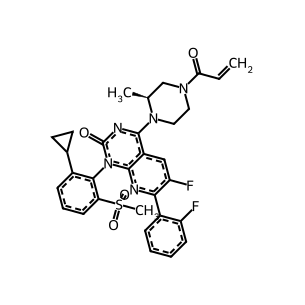 C=CC(=O)N1CCN(c2nc(=O)n(-c3c(C4CC4)cccc3S(C)(=O)=O)c3nc(-c4ccccc4F)c(F)cc23)[C@@H](C)C1